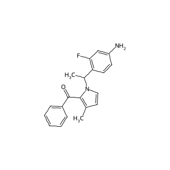 Cc1ccn(C(C)c2ccc(N)cc2F)c1C(=O)c1ccccc1